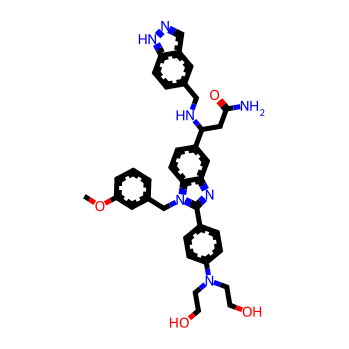 COc1cccc(Cn2c(-c3ccc(N(CCO)CCO)cc3)nc3cc(C(CC(N)=O)NCc4ccc5[nH]ncc5c4)ccc32)c1